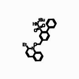 CCC1C=Cc2ccccc2N1OCc1ccc(-c2ccccc2)c(S(=O)(=O)NC(C)(C)C)c1